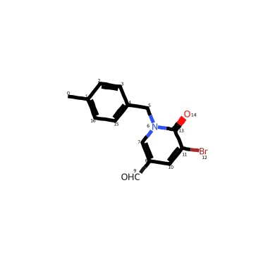 Cc1ccc(Cn2cc(C=O)cc(Br)c2=O)cc1